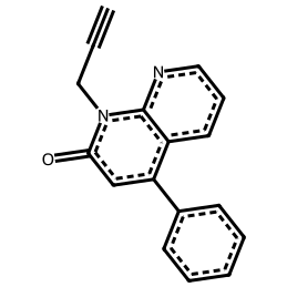 C#CCn1c(=O)cc(-c2ccccc2)c2cccnc21